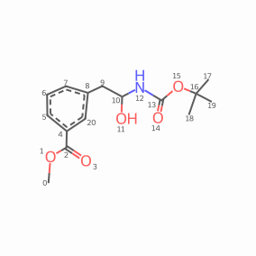 COC(=O)c1cccc(CC(O)NC(=O)OC(C)(C)C)c1